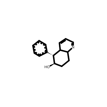 O[C@@H]1CCC2N=CC=CC2[C@H]1c1ccccc1